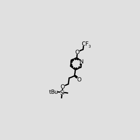 CC(C)(C)[Si](C)(C)OCCC(=O)c1ccc(OCC(F)(F)F)nc1